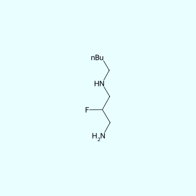 CCCCCNCC(F)CN